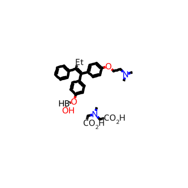 CC/C(=C(/c1ccc(OBO)cc1)c1ccc(OCCN(C)C)cc1)c1ccccc1.CN(CC(=O)O)CC(=O)O